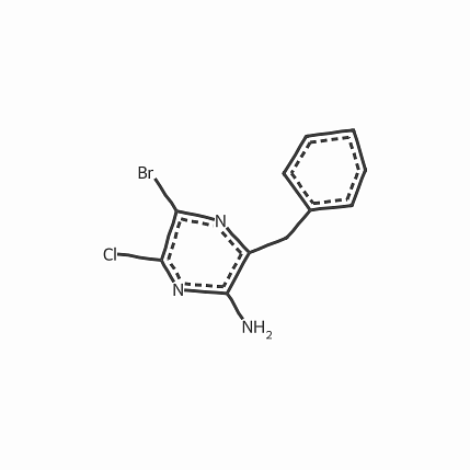 Nc1nc(Cl)c(Br)nc1Cc1ccccc1